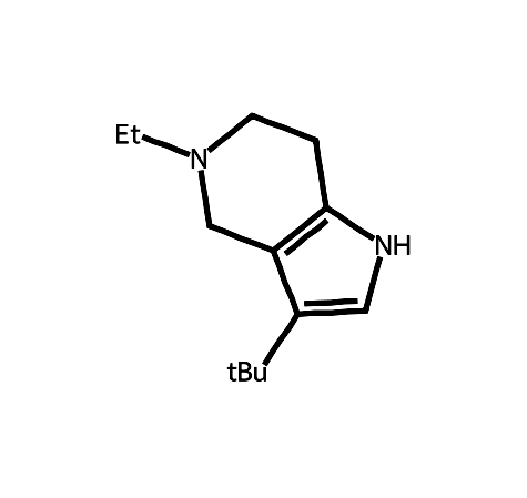 CCN1CCc2[nH]cc(C(C)(C)C)c2C1